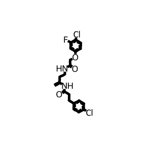 C=C(CCNC(=O)COc1ccc(Cl)c(F)c1)NC(=O)CCc1ccc(Cl)cc1